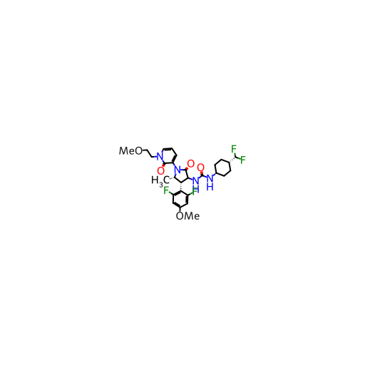 COCCn1cccc(N2C(=O)C(NC(=O)N[C@H]3CC[C@H](C(F)F)CC3)[C@H](c3c(F)cc(OC)cc3F)[C@@H]2C)c1=O